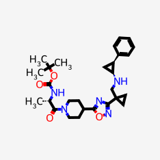 C[C@H](NC(=O)OC(C)(C)C)C(=O)N1CCC(c2nc(C3(CN[C@@H]4C[C@H]4c4ccccc4)CC3)no2)CC1